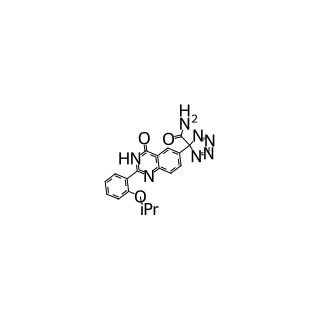 CC(C)Oc1ccccc1-c1nc2ccc(C3(C(N)=O)N=NN=N3)cc2c(=O)[nH]1